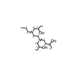 CCCN(CCN(CCC(C)O)CC(C)O)CC(C)O